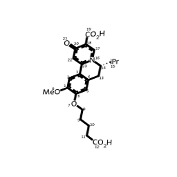 COc1cc2c(cc1OCCCCC(=O)O)C[C@@H](C(C)C)n1cc(C(=O)O)c(=O)cc1-2